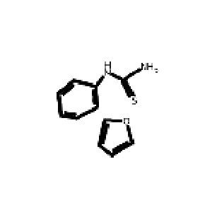 NC(=S)Nc1ccccc1.c1ccoc1